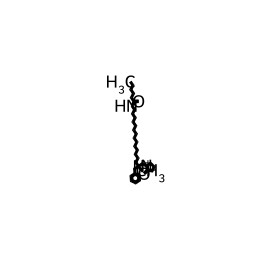 CCCCCC(=O)NCCCCCCCCCCCCCC[N+](C)(Cc1ccccc1)CN1CCCC1=O